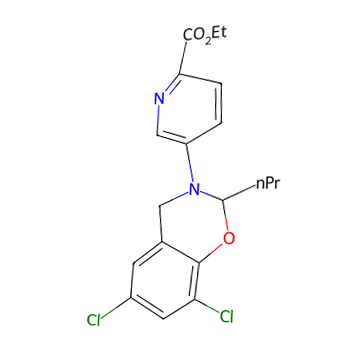 CCCC1Oc2c(Cl)cc(Cl)cc2CN1c1ccc(C(=O)OCC)nc1